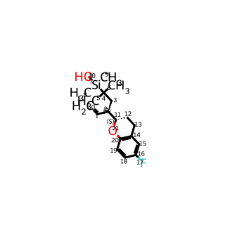 C=C[C@@H](CC(C)(C)[Si](C)(C)O)[C@@H]1CCc2cc(F)ccc2O1